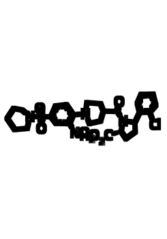 O=C(O)[C@@H]1CCC(c2ccccc2Cl)N1C(=O)C1CCN(c2ccc(S(=O)(=O)N3CCCCC3)cc2[N+](=O)[O-])CC1